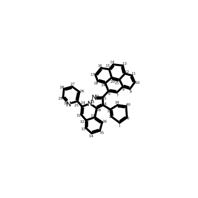 c1ccc(-c2c(-c3cc4cccc5ccc6cccc3c6c54)nn3c(-c4ccccn4)cc4ccccc4c23)cc1